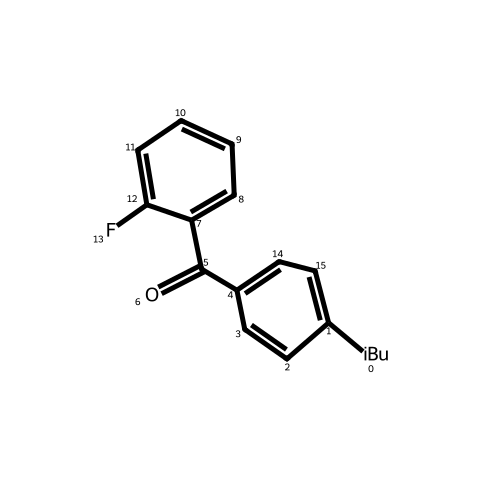 CCC(C)c1ccc(C(=O)c2ccccc2F)cc1